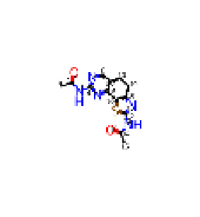 CC(=O)Nc1ncc2c(n1)-c1sc(NC(C)=O)nc1CC2